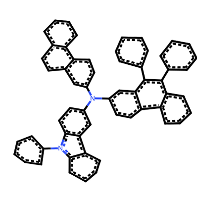 c1ccc(-c2c(-c3ccccc3)c3cc(N(c4ccc5c(ccc6ccccc65)c4)c4ccc5c(c4)c4ccccc4n5-c4ccccc4)ccc3c3ccccc23)cc1